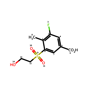 Cc1c(F)cc(C(=O)O)cc1S(=O)(=O)CCO